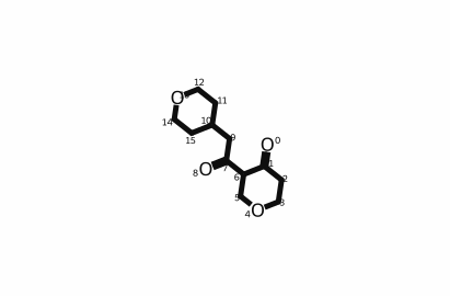 O=C1CCOCC1C(=O)CC1CCOCC1